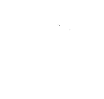 Cc1ccc(C(C)c2c[nH]cn2)c2c1C1CC1C2